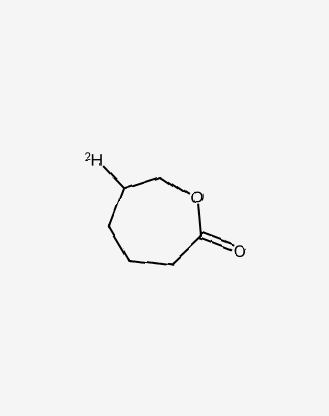 [2H]C1CCCC(=O)OC1